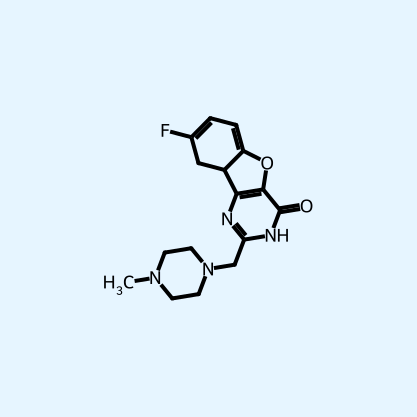 CN1CCN(Cc2nc3c(c(=O)[nH]2)OC2=CC=C(F)CC23)CC1